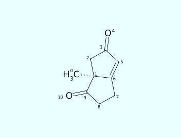 C[C@]12CC(=O)C=C1CCC2=O